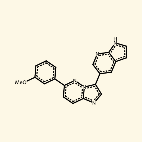 COc1cccc(-c2ccc3ncc(-c4cnc5[nH]ccc5c4)n3n2)c1